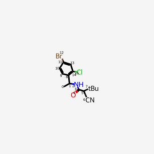 CC(NC(=O)C(C#N)C(C)(C)C)c1ccc(Br)cc1Cl